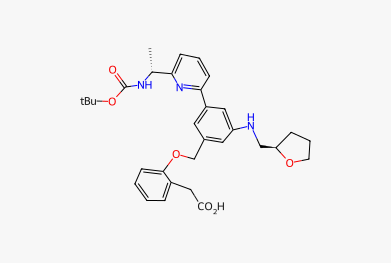 C[C@@H](NC(=O)OC(C)(C)C)c1cccc(-c2cc(COc3ccccc3CC(=O)O)cc(NC[C@H]3CCCO3)c2)n1